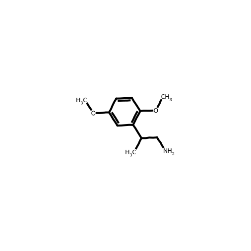 COc1ccc(OC)c(C(C)CN)c1